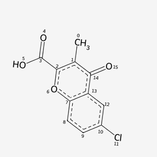 Cc1c(C(=O)O)oc2ccc(Cl)cc2c1=O